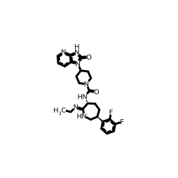 CC/N=C1\NC[C@H](c2cccc(F)c2F)CC[C@H]1NC(=O)N1CCC(n2c(=O)[nH]c3ncccc32)CC1